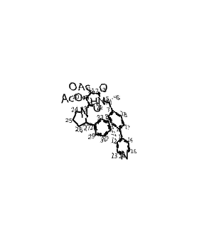 CC(=O)O[C@@H](C(=O)N[C@H](C)c1ccc(-c2ccncc2)cc1)[C@@H](OC(C)=O)C(=O)N1CCCC1c1ccccc1